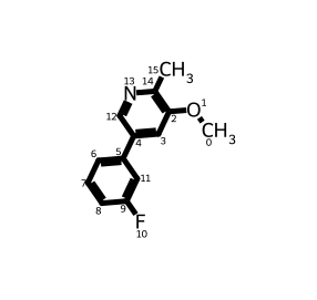 COc1cc(-c2cccc(F)c2)cnc1C